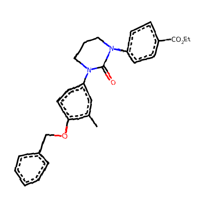 CCOC(=O)c1ccc(N2CCCN(c3ccc(OCc4ccccc4)c(C)c3)C2=O)cc1